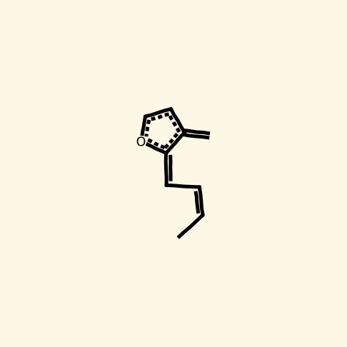 C=c1cco/c1=C/C=C\C